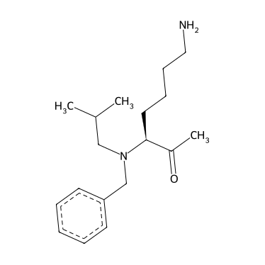 CC(=O)[C@H](CCCCN)N(Cc1ccccc1)CC(C)C